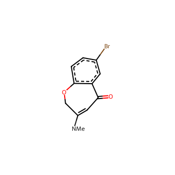 CNC1=CC(=O)c2cc(Br)ccc2OC1